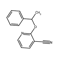 CC(Oc1ncccc1C#N)c1ccccc1